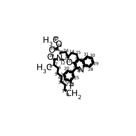 C=CCCCCC[C@H](C)C(=O)N1C[C@@]2(CCc3c(c(-c4cccc(F)c4)nc4ccccc34)O2)C[C@H]1C(=O)OC